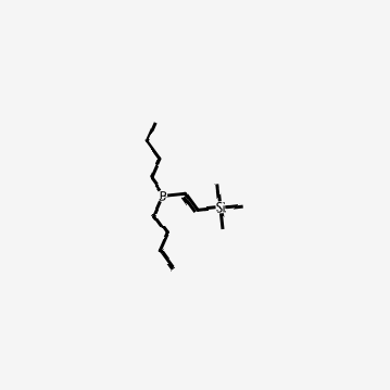 CCCCB(C=C[Si](C)(C)C)CCCC